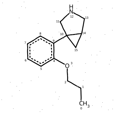 CCCOc1ccccc1C12CNCC1C2